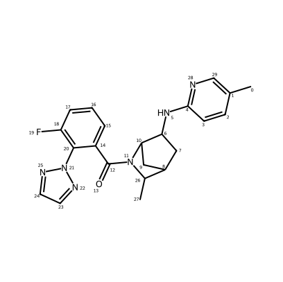 Cc1ccc(NC2CC3CC2N(C(=O)c2cccc(F)c2-n2nccn2)C3C)nc1